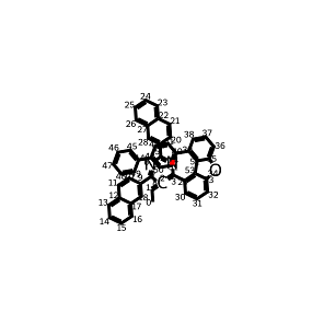 CC=C=C(/N=C(\N=C(/C)c1ccc2ccccc2c1)c1ccc2ccccc2c1)c1cccc2oc3cccc(-c4ccc(-c5ccccc5)cc4)c3c12